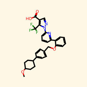 COC1CCC(c2ccc(COc3ccccc3-c3cccc(-n4ncc(C(=O)O)c4C(F)(F)F)n3)cc2)CC1